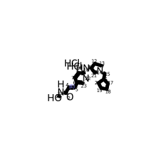 Cl.Cl.O=C(/C=C/c1ccc(N[C@@H]2CCN(CC3CCCC3)C2)nc1)NO